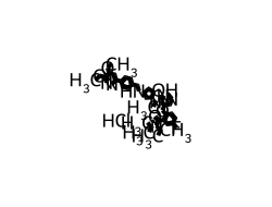 COc1cc(-c2ccc(CN[C@H]3C[C@@H](O)[C@@H](N(C)c4ncncc4Oc4ccc(F)cc4C(=O)N(C(C)C)C(C)C)C3)cc2)nnc1OC.Cl